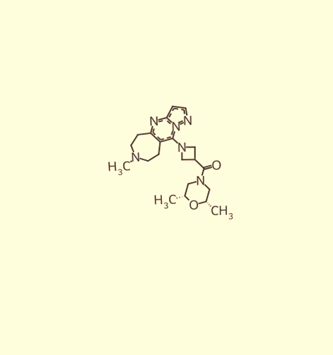 C[C@@H]1CN(C(=O)C2CN(c3c4c(nc5ccnn35)CCN(C)CC4)C2)C[C@H](C)O1